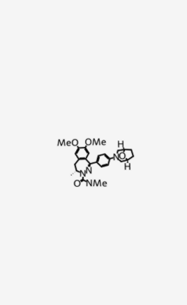 CNC(=O)N1N=C(c2ccc(N3C[C@H]4CC[C@@H](C3)O4)cc2)c2cc(OC)c(OC)cc2C[C@H]1C